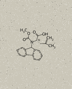 C=C(C)C[C@@H](C(=O)O)N(C(=O)OC)C1c2ccccc2-c2ccccc21